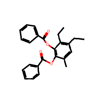 CCc1cc(C)c(OC(=O)c2ccccc2)c(OC(=O)c2ccccc2)c1CC